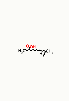 CCCC(CCCCCCCCC(C)C)C(=O)O